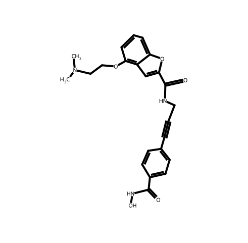 CN(C)CCOc1cccc2oc(C(=O)NCC#Cc3ccc(C(=O)NO)cc3)cc12